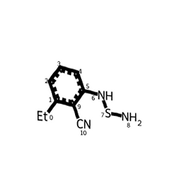 CCc1cccc(NSN)c1C#N